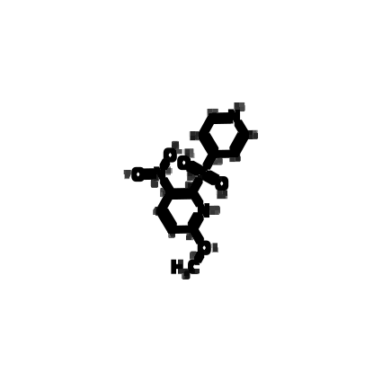 COc1ccc([N+](=O)[O-])c(S(=O)(=O)c2ccncc2)n1